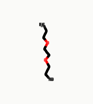 O=NCCOCCOCCC(F)(F)F